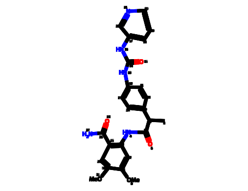 COc1cc(NC(=O)C(C)c2ccc(NC(=O)Nc3cccnc3)cc2)c(C(N)=O)cc1OC